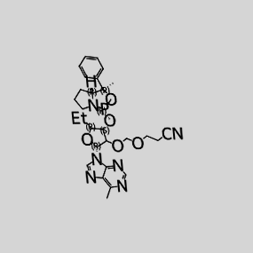 CC[C@H]1O[C@@H](n2cnc3c(C)ncnc32)C(OCOCCC#N)[C@H]1O[P@@]1O[C@](C)(c2ccccc2)[C@H]2CCCN21